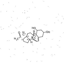 CC(=O)[C@H]1CC[C@H]2C3=CC=C4CC(O)CC(O)[C@]4(C)[C@H]3CC[C@]12C